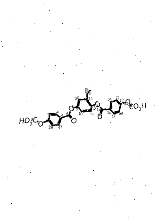 O=C(O)Oc1ccc(C(=O)Oc2ccc(OC(=O)c3ccc(OC(=O)O)cc3)c(Br)c2)cc1